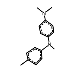 Cc1ccc(N(C)c2ccc(N(C)C)cc2)cc1